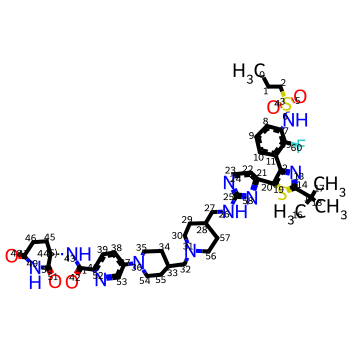 CCCS(=O)(=O)Nc1cccc(-c2nc(C(C)(C)C)sc2-c2ccnc(NCC3CCN(CC4CCN(c5ccc(C(=O)N[C@H]6CCC(=O)NC6=O)nc5)CC4)CC3)n2)c1F